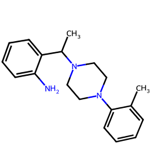 Cc1ccccc1N1CCN(C(C)c2ccccc2N)CC1